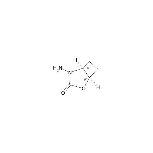 NN1C(=O)O[C@@H]2CC[C@@H]21